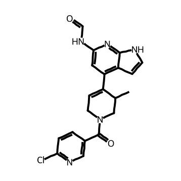 CC1CN(C(=O)c2ccc(Cl)nc2)CC=C1c1cc(NC=O)nc2[nH]ccc12